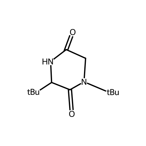 CC(C)(C)C1NC(=O)CN(C(C)(C)C)C1=O